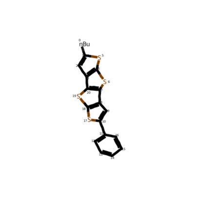 CCCCc1cc2c(s1)sc1c3cc(-c4ccccc4)sc3sc21